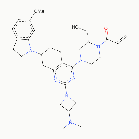 C=CC(=O)N1CCN(c2nc(N3CC(N(C)C)C3)nc3c2CCC(N2CCc4ccc(OC)cc42)C3)C[C@@H]1CC#N